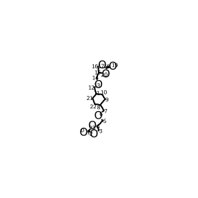 O=C1OCC(COCC2CCC(COCC3COC(=O)O3)CC2)O1